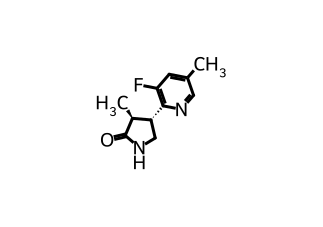 Cc1cnc([C@@H]2CNC(=O)[C@H]2C)c(F)c1